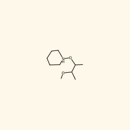 COC(C)C(C)O[SiH]1CCCCC1